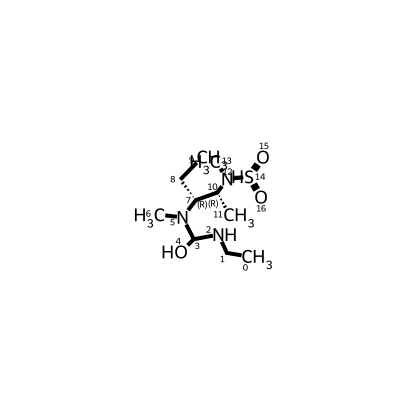 CCNC(O)N(C)[C@H](CC)[C@@H](C)N(C)[SH](=O)=O